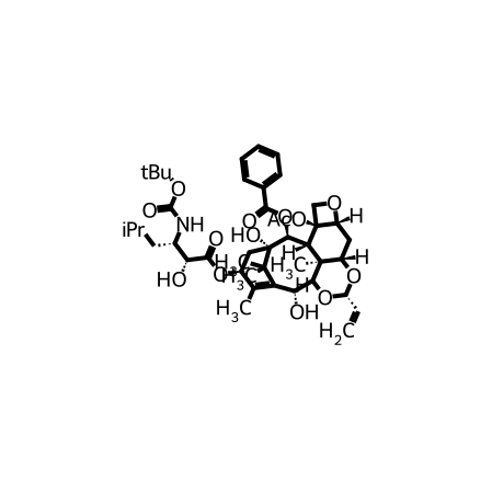 C=C[C@H]1O[C@H]2C[C@H]3OC[C@@]3(OC(C)=O)[C@H]3[C@H](OC(=O)c4ccccc4)[C@]4(O)C[C@H](OC(=O)[C@H](O)[C@H](CC(C)C)NC(=O)OC(C)(C)C)C(C)=C([C@@H](O)[C@H](O1)[C@]23C)C4(C)C